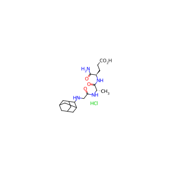 C[C@H](NC(=O)CNC1C2CC3CC(C2)CC1C3)C(=O)N[C@H](CCC(=O)O)C(N)=O.Cl